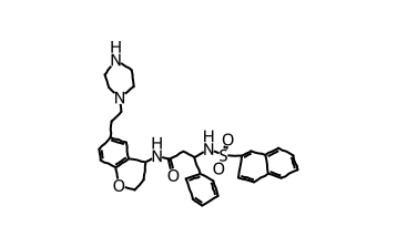 O=C(CC(NS(=O)(=O)c1ccc2ccccc2c1)c1ccccc1)NC1CCOc2ccc(CCN3CCNCC3)cc21